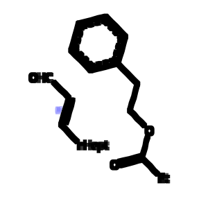 CCC(=O)OCCc1ccccc1.CCCCCCC/C=C/C=O